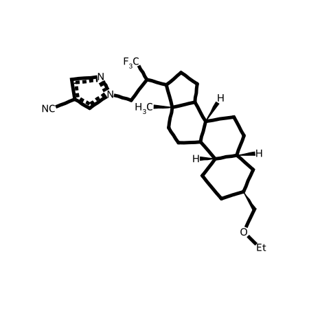 CCOC[C@H]1CC[C@@H]2C3CC[C@]4(C)C(C(Cn5cc(C#N)cn5)C(F)(F)F)CCC4[C@@H]3CC[C@@H]2C1